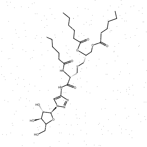 CCCCCC(=O)N[C@H](CSC[C@@H](COC(=O)CCCCC)OC(=O)CCCCC)C(=O)Nc1cn([C@H]2OC(CO)[C@@H](O)[C@@H]2O)nn1